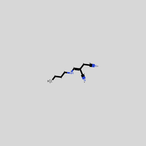 CCCCNC=C(C#N)CC#N